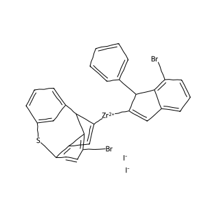 Brc1cccc2c1C(c1ccccc1)[C]([Zr+2][C]1=Cc3c4ccc(Br)c3C1c1cccc(c1)S4)=C2.[I-].[I-]